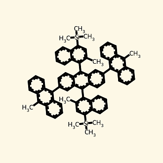 Cc1cc([Si](C)(C)C)c2ccccc2c1-c1c2ccc(-c3c4ccccc4c(C)c4ccccc34)cc2c(-c2c(C)cc([Si](C)(C)C)c3ccccc23)c2ccc(-c3c4ccccc4c(C)c4ccccc34)cc12